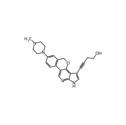 CN1CCN(c2ccc3c(c2)COc2c-3cnc3[nH]cc(C#CCCO)c23)CC1